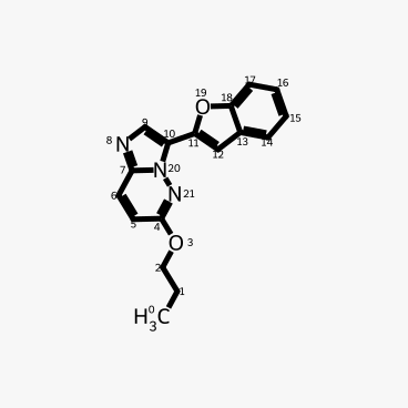 CCCOc1ccc2ncc(-c3cc4ccccc4o3)n2n1